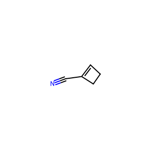 N#CC1=CCC1